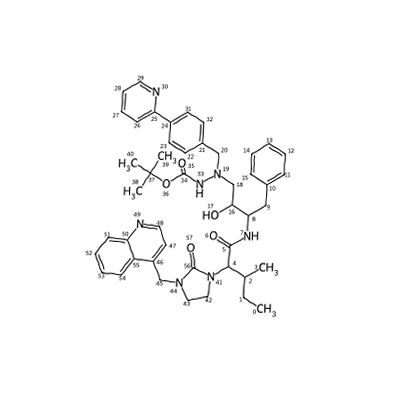 CCC(C)C(C(=O)NC(Cc1ccccc1)C(O)CN(Cc1ccc(-c2ccccn2)cc1)NC(=O)OC(C)(C)C)N1CCN(Cc2ccnc3ccccc23)C1=O